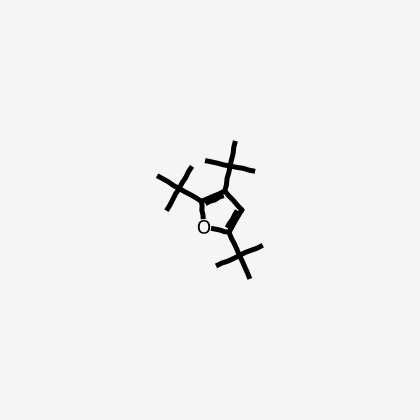 CC(C)(C)c1cc(C(C)(C)C)c(C(C)(C)C)o1